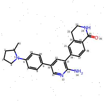 CC1CCCN1c1ccc(-c2cnc(N)c(-c3ccc4c(c3)CCNC4=O)c2)cc1